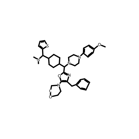 COc1ccc(N2CCN(C(c3nc(Cc4ccccc4)c(N4CCOCC4)o3)C3CCC(C(c4cccs4)N(C)C)CC3)CC2)cc1